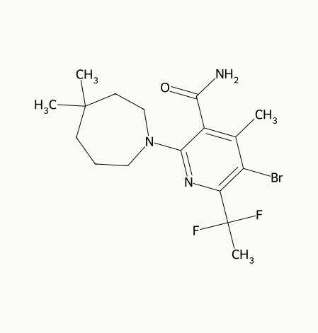 Cc1c(Br)c(C(C)(F)F)nc(N2CCCC(C)(C)CC2)c1C(N)=O